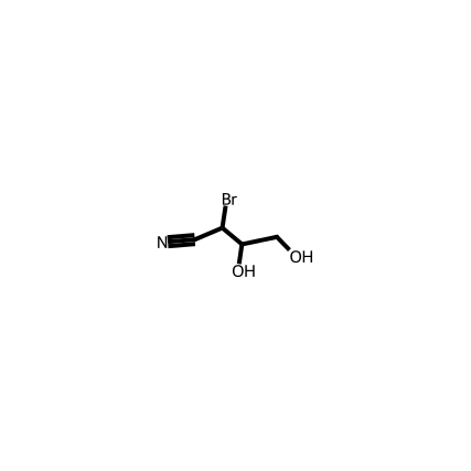 N#CC(Br)C(O)CO